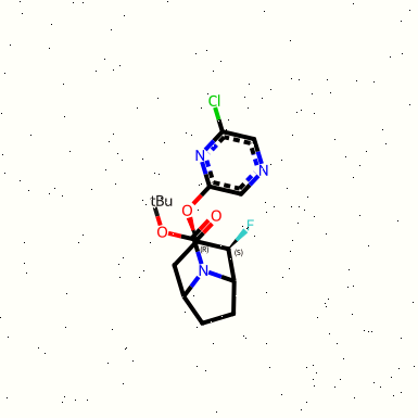 CC(C)(C)OC(=O)N1C2CCC1[C@H](F)[C@H](Oc1cncc(Cl)n1)C2